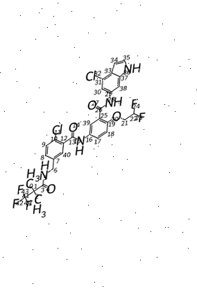 CC(C)(C(=O)NCc1ccc(Cl)c(C(=O)Nc2ccc(OCC(F)F)c(C(=O)Nc3cc(Cl)c4cc[nH]c4c3)c2)c1)C(F)(F)F